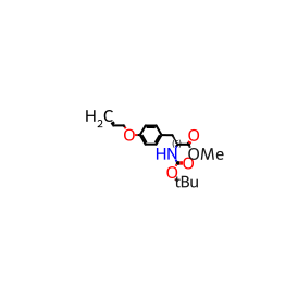 C=CCOc1ccc(C[C@H](NC(=O)OC(C)(C)C)C(=O)OC)cc1